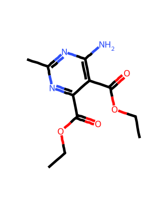 CCOC(=O)c1nc(C)nc(N)c1C(=O)OCC